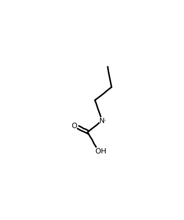 CCC[N]C(=O)O